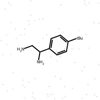 CC(C)(C)c1ccc(C(N)CN)cc1